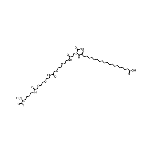 N[C@@H](CCCCNC(=O)COCCOCCNC(=O)COCCOCCNC(=O)CC[C@H](NC(=O)CCCCCCCCCCCCCCCCCCC(=O)O)C(=O)O)C(=O)I